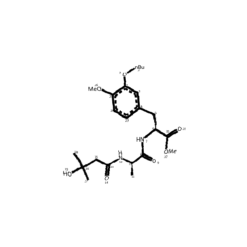 CCCCOc1cc(C[C@H](NC(=O)[C@@H](C)NC(=O)CC(C)(C)O)C(=O)OC)ccc1OC